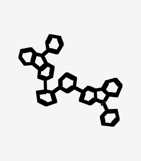 C1=CC2=C(CC1)c1cc(-c3ccccc3-c3cccc(-c4ccc5c(c4)c4ccccc4n5-c4ccccc4)c3)ccc1C2c1ccccc1